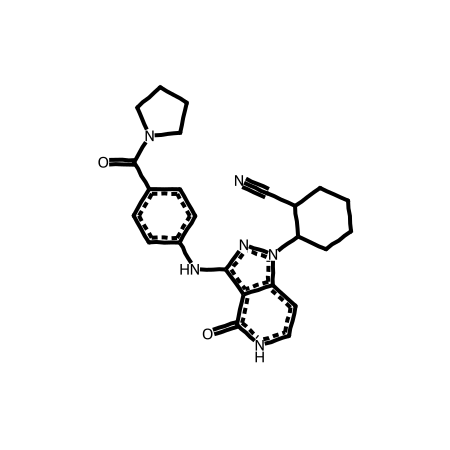 N#CC1CCCCC1n1nc(Nc2ccc(C(=O)N3CCCC3)cc2)c2c(=O)[nH]ccc21